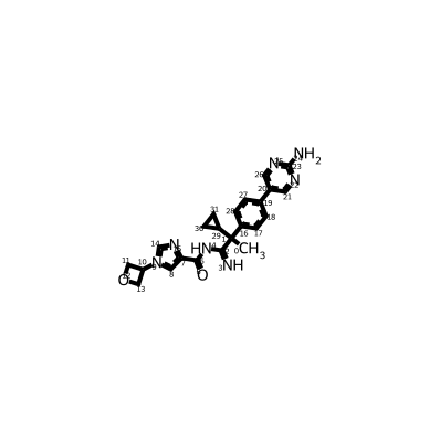 CC(C(=N)NC(=O)c1cn(C2COC2)cn1)(c1ccc(-c2cnc(N)nc2)cc1)C1CC1